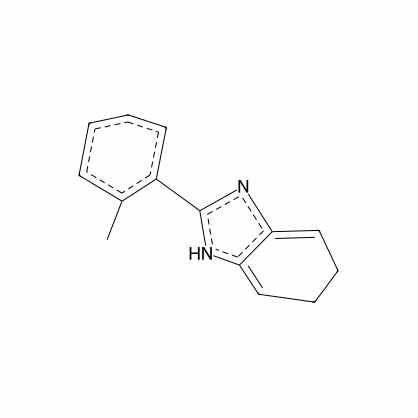 Cc1ccccc1-c1nc2c([nH]1)=CCCC=2